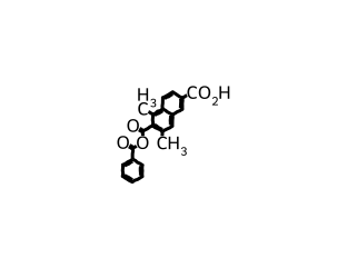 Cc1cc2cc(C(=O)O)ccc2c(C)c1C(=O)OC(=O)c1ccccc1